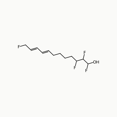 OC(F)C(F)C(F)CCCCC=CC=CCF